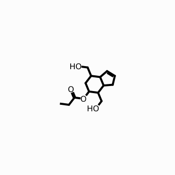 CCC(=O)OC1CC(CO)C2C=CCC2C1CO